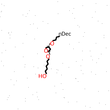 CCCCCCCCCCCCCCOC[C@H]1CO[C@H](COCCCCCCCO)C1